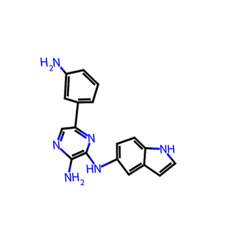 Nc1cccc(-c2cnc(N)c(Nc3ccc4[nH]ccc4c3)n2)c1